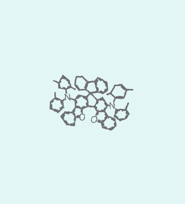 CC1=CCC(C)C(N(c2ccccc2C)c2cc3c(c4oc5ccccc5c24)-c2c(cc(N(c4ccccc4C)c4cc(C)ccc4C)c4c2oc2ccccc24)C32C3=C(CCC=C3)c3ccccc32)=C1